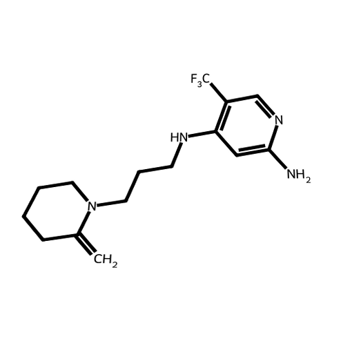 C=C1CCCCN1CCCNc1cc(N)ncc1C(F)(F)F